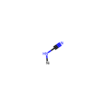 N#C[NH][Ni]